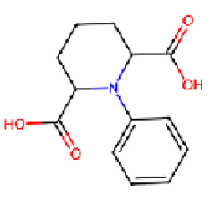 O=C(O)C1CCCC(C(=O)O)N1c1ccccc1